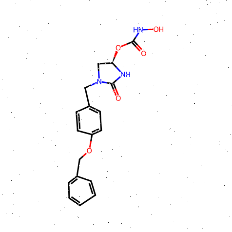 O=C(NO)O[C@@H]1CN(Cc2ccc(OCc3ccccc3)cc2)C(=O)N1